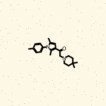 Cc1ccc(-n2c(C)cc(C(=O)CN3CCC(C)(C)CC3)c2C)cc1